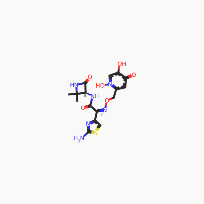 CC1(C)NC(=O)[C@H]1NC(=O)/C(=N\OCc1cc(=O)c(O)cn1O)c1csc(N)n1